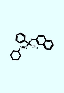 CC(N=NC1CCCCC1)(Sc1ccc2ccccc2c1)c1ccccc1